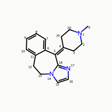 CN1CCC(=C2c3ccccc3CCn3ccnc32)CC1